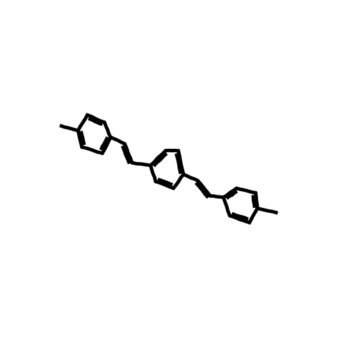 Cc1ccc(C=Cc2ccc(C=Cc3ccc(C)cc3)cc2)cc1